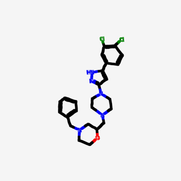 Clc1ccc(-c2cc(N3CCN(CC4CN(Cc5ccccc5)CCO4)CC3)n[nH]2)cc1Cl